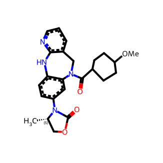 COC1CCC(C(=O)N2Cc3cccnc3Nc3ccc(N4C(=O)OC[C@@H]4C)cc32)CC1